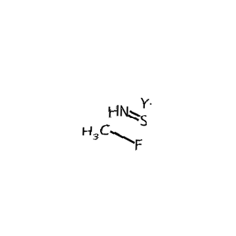 CF.N=S.[Y]